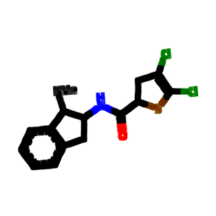 CNC1c2ccccc2CC1NC(=O)C1CC(Cl)=C(Cl)S1